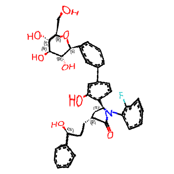 O=C1[C@H](CC[C@H](O)c2ccccc2)[C@@H](c2ccc(-c3cccc([C@@H]4O[C@H](CO)[C@@H](O)[C@H](O)[C@H]4O)c3)cc2O)N1c1ccccc1F